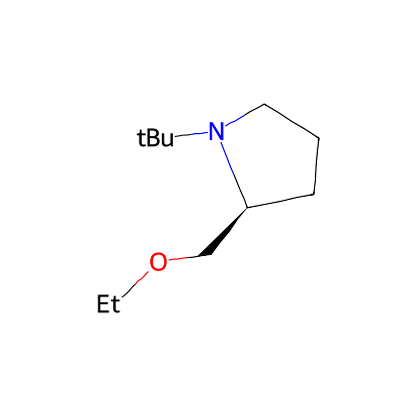 CCOC[C@@H]1CCCN1C(C)(C)C